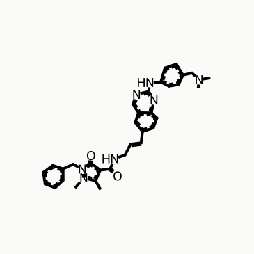 Cc1c(C(=O)NCC=Cc2ccc3nc(Nc4ccc(CN(C)C)cc4)ncc3c2)c(=O)n(Cc2ccccc2)n1C